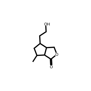 CC1CC(CCO)C2COC(=O)C12